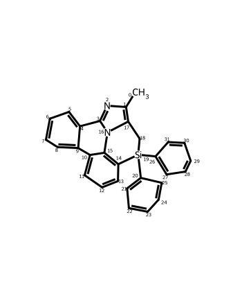 Cc1nc2c3ccccc3c3cccc4c3n2c1C[Si]4(c1ccccc1)c1ccccc1